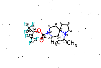 CC(C)N1CCCC12CCN(C(=O)OC(C(F)(F)F)C(F)(F)F)CC2